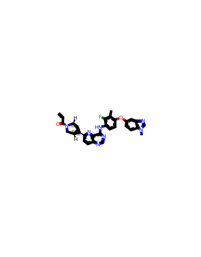 C=CC(=O)N1C[C@@H]2C[C@H]1C[C@H]2c1ccc2ncnc(Nc3ccc(Oc4ccc5c(c4)ncn5C)c(C)c3F)c2n1